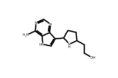 Nc1ncnc2c(C3CCC(CCO)N3)c[nH]c12